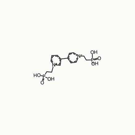 O=P(O)(O)CC[n+]1ccc(-c2ccc[n+](CCP(=O)(O)O)c2)cc1